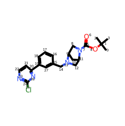 CC(C)(C)OC(=O)N1CC2CC1CN2Cc1cccc(-c2ccnc(Cl)n2)c1